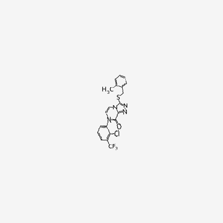 Cc1ccccc1CSc1nnc2c(=O)n(-c3cccc(C(F)(F)F)c3Cl)ccn12